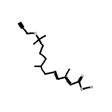 C#CCOC(C)(C)CCCC(C)C/C=C/C(C)=C/C(=O)OC(C)C